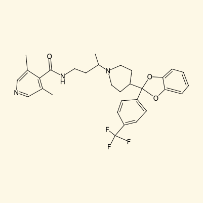 Cc1cncc(C)c1C(=O)NCCC(C)N1CCC(C2(c3ccc(C(F)(F)F)cc3)Oc3ccccc3O2)CC1